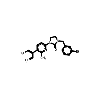 C=C/C(=C\C)c1ccc(N2CCN(Cc3cccc(CC)c3)C2=O)nc1C